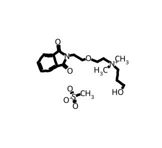 CS(=O)(=O)[O-].C[N+](C)(CCCO)CCOCCN1C(=O)c2ccccc2C1=O